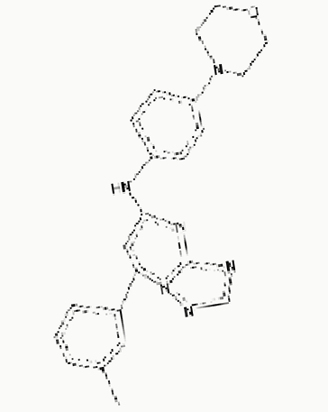 Cc1cccc(-c2cc(Nc3ccc(N4CCOCC4)cc3)nc3ncnn23)c1